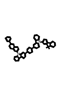 CC1(C)c2ccccc2-c2ccc(-n3c4ccccc4c4cc(-c5ccc(-c6ccc7c8ccccc8n(-c8ccc9cc(-c%10ccccc%10)ccc9c8)c7c6)cc5)ccc43)cc21